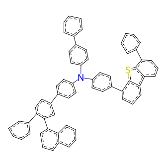 c1ccc(-c2ccc(N(c3ccc(-c4ccc(-c5ccccc5)c(-c5cccc6ccccc56)c4)cc3)c3ccc(-c4cccc5c4sc4c(-c6ccccc6)cccc45)cc3)cc2)cc1